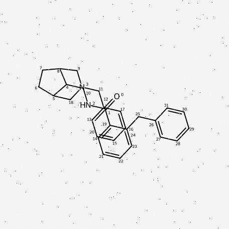 O=C(NCC1C2CCC1CN(Cc1ccccc1)C2)c1ccccc1Cc1ccccc1